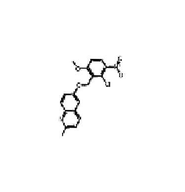 COc1ccc([N+](=O)[O-])c(Cl)c1COc1ccc2nc(C)ccc2c1